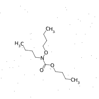 CCCCOC(=O)N(CCCC)OCCCC